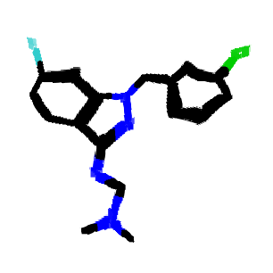 CN(C)C=Nc1nn(Cc2cccc(Cl)c2)c2cc(F)ccc12